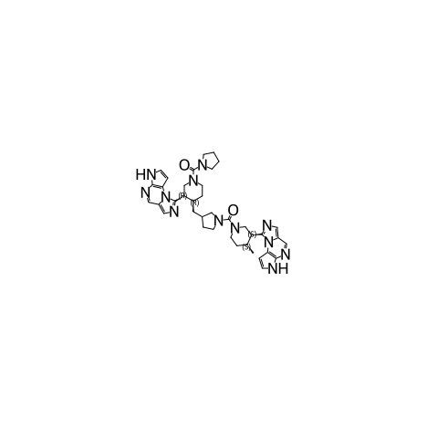 C[C@H]1CCN(C(=O)N2CCC(C[C@@H]3CCN(C(=O)N4CCCC4)C[C@@H]3c3ncc4cnc5[nH]ccc5n34)C2)C[C@H]1c1ncc2cnc3[nH]ccc3n12